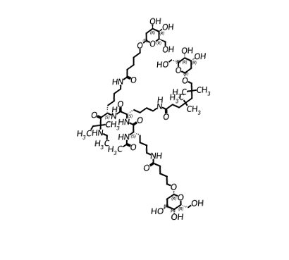 CCNC(C)(CC)C(=O)[C@H](CCCCNC(=O)CCCCO[C@H]1C[C@@H](O)[C@@H](O)[C@@H](CO)O1)NC(=O)[C@H](CCCCNC(=O)CCC(C)(C)CC(C)(C)CO[C@H]1C[C@@H](O)[C@@H](O)[C@@H](CO)O1)NC(=O)[C@H](CCCCNC(=O)CCCCO[C@H]1C[C@@H](O)[C@@H](O)[C@@H](CO)O1)NC(C)=O